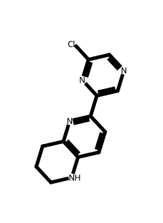 Clc1cncc(-c2ccc3c(n2)CCCN3)n1